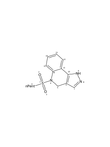 CCCCCS(=O)(=O)N1Cc2cn[nH]c2-c2ccccc21